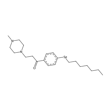 CCCCCCC[Se]c1ccc(C(=O)CCN2CCN(C)CC2)cc1